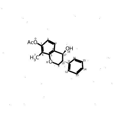 CC(=O)Oc1ccc2c(c1C)OC[C@@H](c1ccccc1)[C@@H]2O